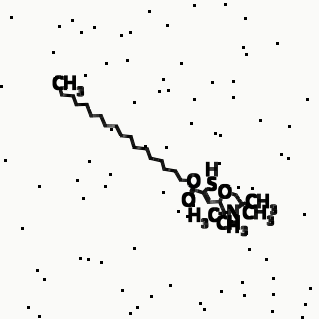 CCCCCCCCCCCCCCCCCCOC(=O)C(S)=CC1OCC(C)(C)NC1(C)C